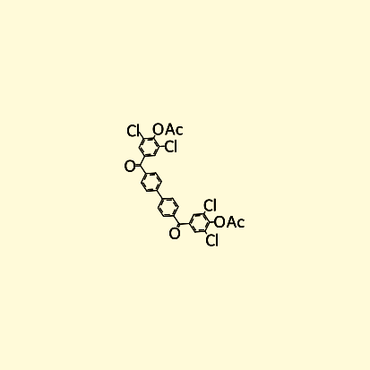 CC(=O)Oc1c(Cl)cc(C(=O)c2ccc(-c3ccc(C(=O)c4cc(Cl)c(OC(C)=O)c(Cl)c4)cc3)cc2)cc1Cl